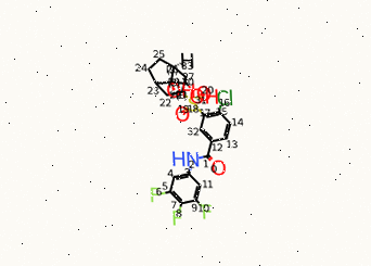 O=C(Nc1cc(F)c(F)c(F)c1)c1ccc(Cl)c(S(=O)(=O)[C@H]2CC3CC[C@@H](C2)[C@]3(O)CO)c1